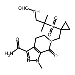 Cn1nc(C(N)=O)c2c1C(=O)N(CC1(S(=O)(=O)C(C)(C)CNC=O)CC1)CC2